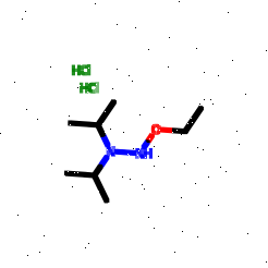 CCONN(C(C)C)C(C)C.Cl.Cl